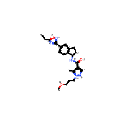 CCc1nc(-c2ccc3c(c2)CCC3NC(=O)c2cnn(CCCOC)c2C)no1